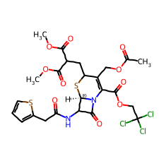 COC(=O)C(CC1S[C@@H]2C(NC(=O)Cc3cccs3)C(=O)N2C(C(=O)OCC(Cl)(Cl)Cl)=C1COC(C)=O)C(=O)OC